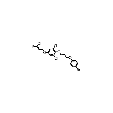 FC(Cl)=CCOc1cc(Cl)c(OCCCOc2ccc(Br)cc2)c(Cl)c1